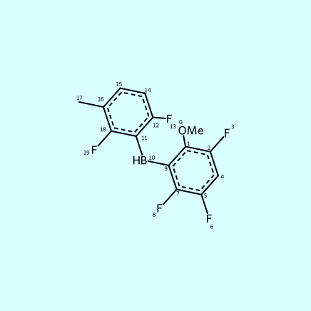 COc1c(F)cc(F)c(F)c1Bc1c(F)ccc(C)c1F